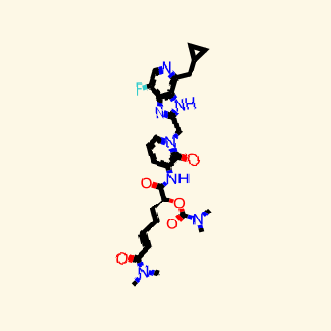 CN(C)C(=O)/C=C/CC[C@H](OC(=O)N(C)C)C(=O)Nc1cccn(Cc2nc3c(F)cnc(CC4CC4)c3[nH]2)c1=O